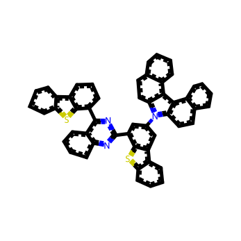 c1ccc2c(c1)ccc1c2c2c3ccccc3ccc2n1-c1cc(-c2nc(-c3cccc4c3sc3ccccc34)c3ccccc3n2)c2sc3ccccc3c2c1